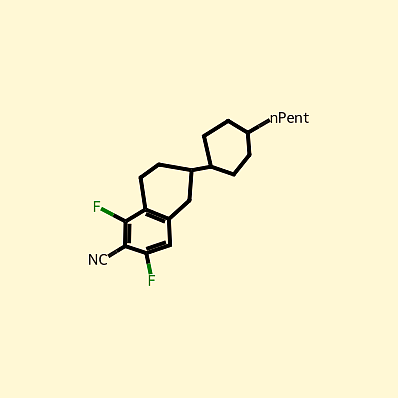 CCCCCC1CCC(C2CCc3c(cc(F)c(C#N)c3F)C2)CC1